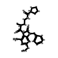 CCCSc1nc(N)c2c(n1)n(Cc1ccccc1)c(=O)n2C(=O)N(C)CCOC(=O)N1CCCC1